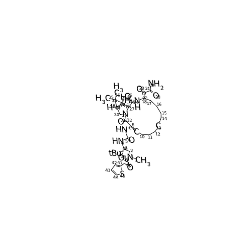 CN(C[C@@H](NC(=O)N[C@H]1CCCCCCCCC[C@@H](C(=O)C(N)=O)NC(=O)[C@@H]2[C@@H]3[C@H](CN2C1=O)C3(C)C)C(C)(C)C)S(=O)(=O)c1cccs1